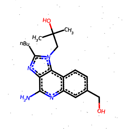 CCCCc1nc2c(N)nc3cc(CO)ccc3c2n1CC(C)(C)O